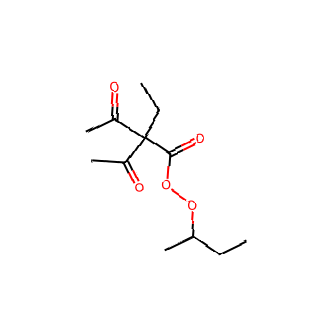 CCC(C)OOC(=O)C(CC)(C(C)=O)C(C)=O